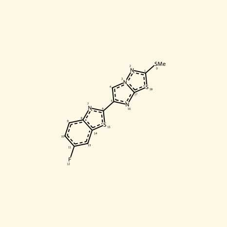 CSc1nn2cc(-c3nc4ccc(F)cc4s3)nc2s1